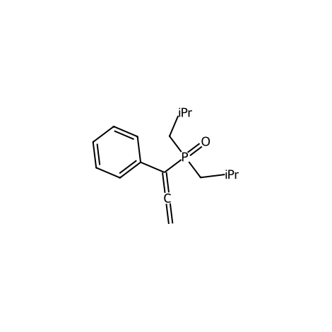 C=C=C(c1ccccc1)P(=O)(CC(C)C)CC(C)C